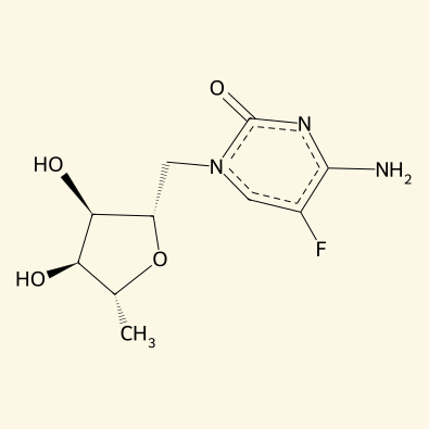 C[C@H]1O[C@@H](Cn2cc(F)c(N)nc2=O)[C@H](O)[C@@H]1O